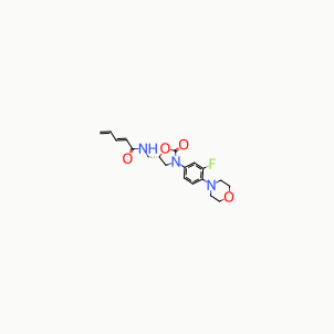 C=C/C=C/C(=O)NC[C@H]1CN(c2ccc(N3CCOCC3)c(F)c2)C(=O)O1